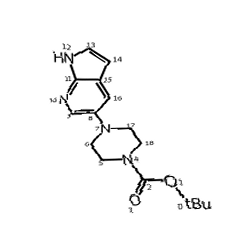 CC(C)(C)OC(=O)N1CCN(c2cnc3[nH]ccc3c2)CC1